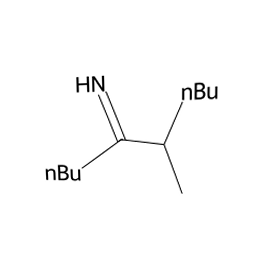 [CH2]CCCC(=N)C(C)CCCC